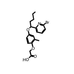 CCCCC(Oc1ccc(OCC(=O)O)c(C)c1)c1cccc(Br)n1